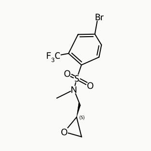 CN(C[C@H]1CO1)S(=O)(=O)c1ccc(Br)cc1C(F)(F)F